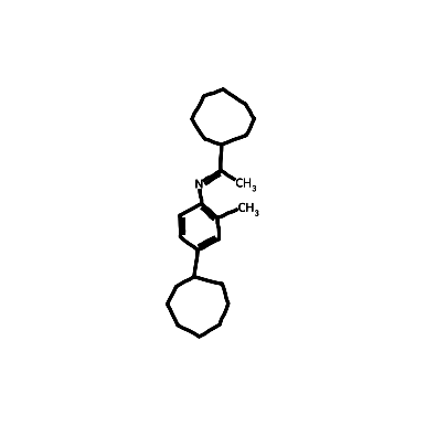 C/C(=N\c1ccc(C2CCCCCCC2)cc1C)C1CCCCCCC1